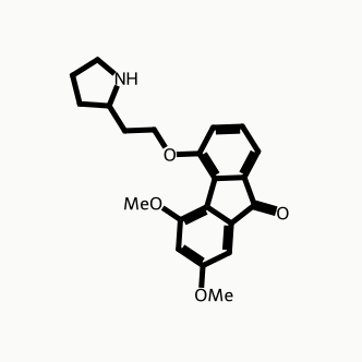 COc1cc(OC)c2c(c1)C(=O)c1cccc(OCCC3CCCN3)c1-2